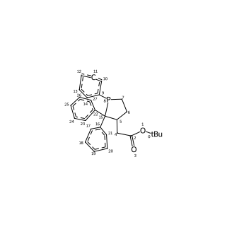 CC(C)(C)OC(=O)CC1CCP(c2ccccc2)C1(c1ccccc1)c1ccccc1